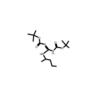 CCCC(C)N/C(=N\C(=O)OC(C)(C)C)NC(=O)OC(C)(C)C